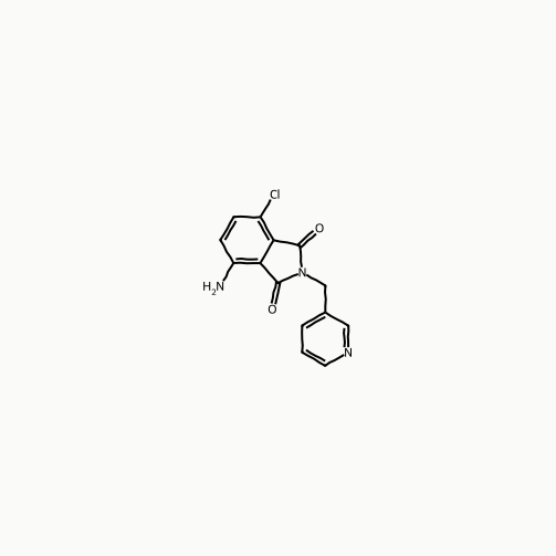 Nc1ccc(Cl)c2c1C(=O)N(Cc1cccnc1)C2=O